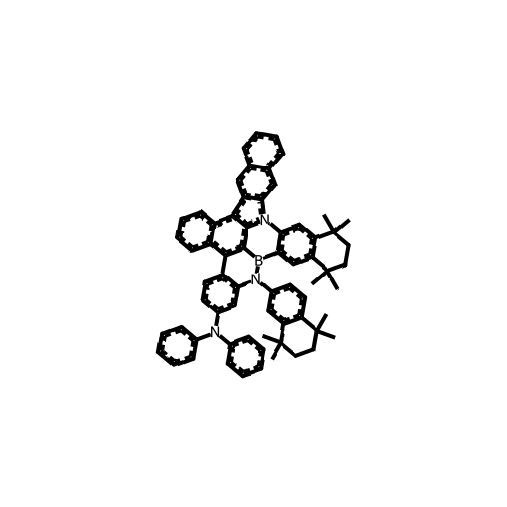 CC1(C)CCC(C)(C)c2cc(N3B4c5cc6c(cc5-n5c7cc8ccccc8cc7c7c8ccccc8c(c4c75)-c4ccc(N(c5ccccc5)c5ccccc5)cc43)C(C)(C)CCC6(C)C)ccc21